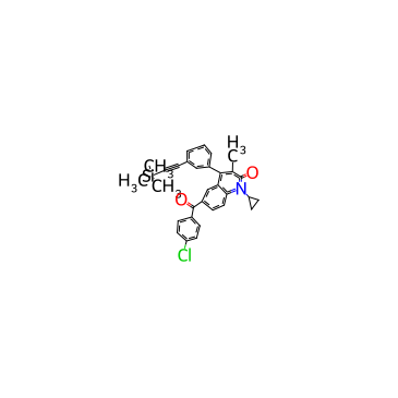 Cc1c(-c2cccc(C#C[Si](C)(C)C)c2)c2cc(C(=O)c3ccc(Cl)cc3)ccc2n(C2CC2)c1=O